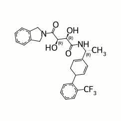 C[C@@H](NC(=O)[C@H](O)[C@@H](O)C(=O)N1Cc2ccccc2C1)C1=CCC(c2ccccc2C(F)(F)F)C=C1